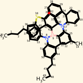 CCCCc1ccc(N2B3c4c(cc(C)cc4N(C4C=CC=CC4c4ccccc4)c4ccc5sc6ccccc6c5c43)-c3cc(CCCC)ccc32)cc1